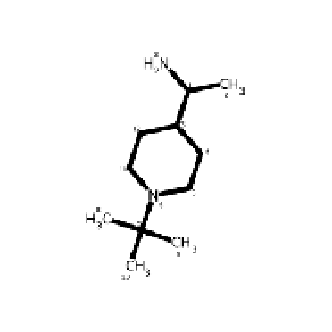 CC(N)C1CCN(C(C)(C)C)CC1